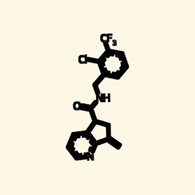 C=C1CC(C(=O)NCc2cccc(C(F)(F)F)c2Cl)c2cccnc21